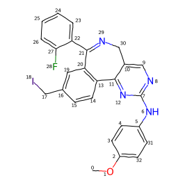 COc1ccc(Nc2ncc3c(n2)-c2ccc(CI)cc2C(c2ccccc2F)=NC3)cc1